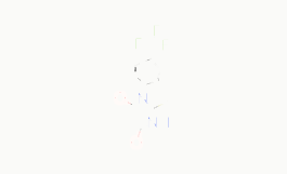 O=C1CC(=O)N(c2ccc(C(F)(F)F)cc2)C(=S)N1